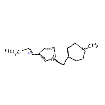 CN1CCC(Cn2cc(/C=C/C(=O)O)cn2)CC1